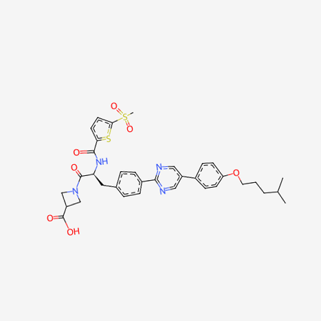 CC(C)CCCOc1ccc(-c2cnc(-c3ccc(C[C@H](NC(=O)c4ccc(S(C)(=O)=O)s4)C(=O)N4CC(C(=O)O)C4)cc3)nc2)cc1